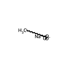 CCCCCCCCCCCCCC=CCS(=O)(=O)[O-].[Na+]